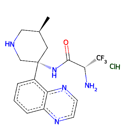 C[C@@H]1CNC[C@](NC(=O)[C@@H](N)C(F)(F)F)(c2cccc3nccnc23)C1.Cl